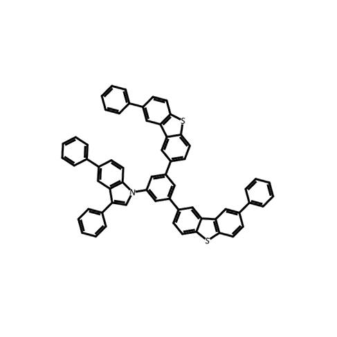 c1ccc(-c2ccc3c(c2)c(-c2ccccc2)cn3-c2cc(-c3ccc4sc5ccc(-c6ccccc6)cc5c4c3)cc(-c3ccc4sc5ccc(-c6ccccc6)cc5c4c3)c2)cc1